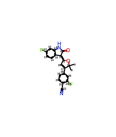 CC1(C)OC(=C2C(=O)Nc3cc(F)ccc32)C=C1c1ccc(C#N)c(F)c1